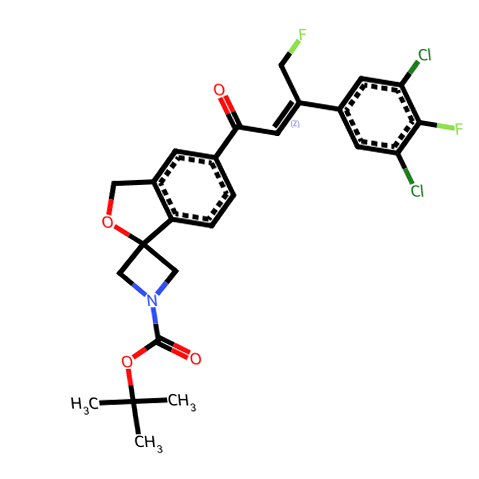 CC(C)(C)OC(=O)N1CC2(C1)OCc1cc(C(=O)/C=C(\CF)c3cc(Cl)c(F)c(Cl)c3)ccc12